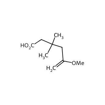 C=C(CC(C)(C)CC(=O)O)OC